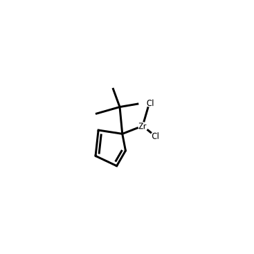 CC(C)(C)[C]1([Zr]([Cl])[Cl])C=CC=C1